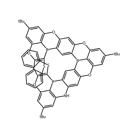 CC(C)(C)c1cc2c3c(c1)Oc1c(sc4ccccc14)B3c1cc3c(cc1N2)Oc1cc(C(C)(C)C)cc2c1B3c1cc3c(cc1O2)Oc1cc(C(C)(C)C)cc2c1B3c1sc3ccccc3c1O2